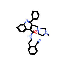 CN1CC[N+]([O-])(Cc2c(-c3ccccc3)nc3ccccc3c2C(=O)NCCc2ccccc2C#N)CC1